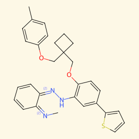 C/N=C1/C=CC=C/C1=N/Nc1cc(-c2cccs2)ccc1OCC1(COc2ccc(C)cc2)CCC1